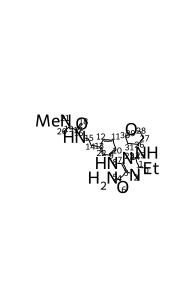 CCc1nc(C(N)=O)c(Nc2cccc(CCNC(=O)[C@H](C)NC)c2)nc1NC1CCOCC1